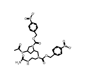 CC(=O)SC1CC(CN(CCNC(N)=O)C(=O)OCc2ccc([N+](=O)[O-])cc2)N(C(=O)OCc2ccc([N+](=O)[O-])cc2)C1